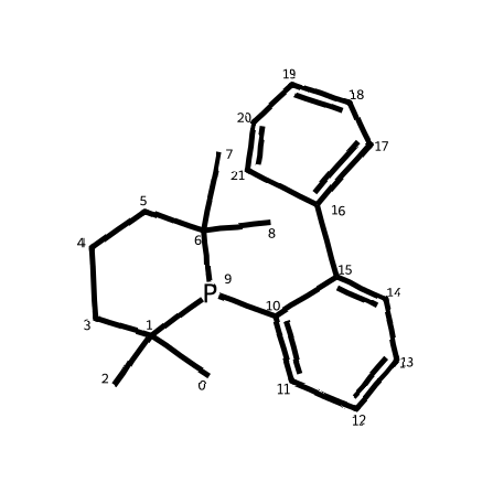 CC1(C)CCCC(C)(C)P1c1ccccc1-c1ccccc1